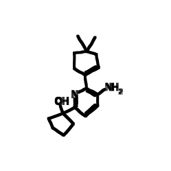 CC1(C)CC=C(c2nc(C3(O)CCCC3)ccc2N)CC1